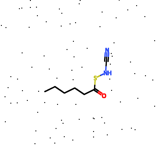 CCCCCC(=O)SNC#N